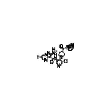 Nc1nn2cc(F)cnc2c1C(=O)Nc1cncc(Cl)c1N1CCC(C(=O)N2CCN3CCC2CC3)CC1